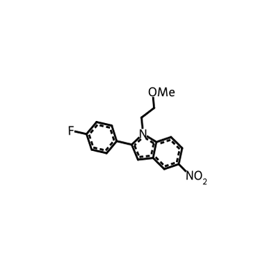 COCCn1c(-c2ccc(F)cc2)cc2cc([N+](=O)[O-])ccc21